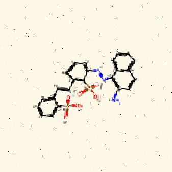 Nc1ccc2ccccc2c1N=Nc1cccc(C=Cc2ccccc2S(=O)(=O)O)c1S(=O)(=O)O